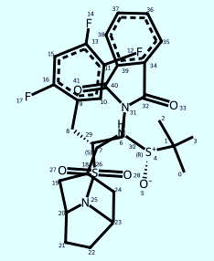 CC(C)(C)[S@+]([O-])N[C@@H](Cc1cc(F)c(F)cc1F)C1CC2CCC(C1)N2S(=O)(=O)CCN1C(=O)c2ccccc2C1=O